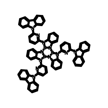 c1cc(N2B3N(B4N(B5N3c3ccccc3N5c3cccc(-n5c6ccccc6c6ccccc65)n3)c3ccccc3N4c3cccc(-n4c5ccccc5c5ccccc54)n3)c3ccccc32)nc(-n2c3ccccc3c3ccccc32)c1